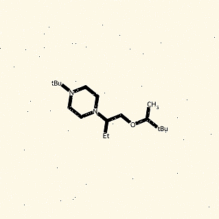 CCC(COC(C)C(C)(C)C)N1CCN(C(C)(C)C)CC1